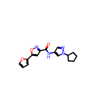 O=C(Nc1cnn(C2CCCC2)c1)c1cc(-c2ccco2)on1